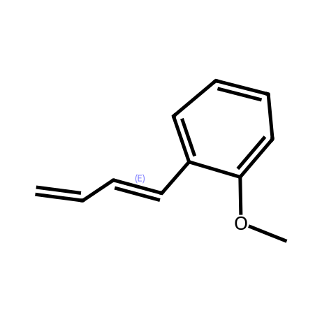 C=C/C=C/c1ccccc1OC